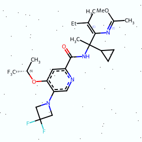 CC/C(C)=C(/N=C(/C)OC)C(C)(NC(=O)c1cc(O[C@@H](C)C(F)(F)F)c(N2CC(F)(F)C2)cn1)C1CC1